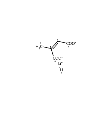 C/C(=C/C(=O)[O-])C(=O)[O-].[Li+].[Li+]